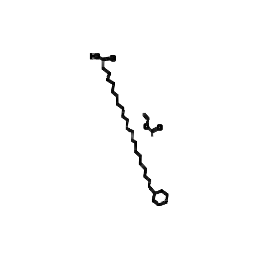 C=COC(C)=O.O=C(O)CCCCCCCCCCCCCCCCCCCCCC1CCCCC1